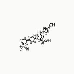 C#Cc1nc(NC(=O)NC(COC(=O)O)c2ccc(-c3cccc(C4(C#N)CC4)c3)cc2)cs1